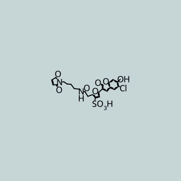 O=C(Cc1oc(-c2cc3cc(Cl)c(O)cc3oc2=O)cc1S(=O)(=O)O)NCCCCCN1C(=O)C=CC1=O